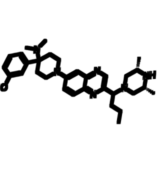 CCCC(c1cnc2cc(N3CCC(c4cccc(O)c4)(N(C)C)CC3)ccc2n1)N1C[C@@H](C)N[C@@H](C)C1